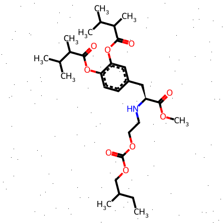 CCC(C)COC(=O)OCCN[C@@H](Cc1ccc(OC(=O)C(C)C(C)C)c(OC(=O)C(C)C(C)C)c1)C(=O)OC